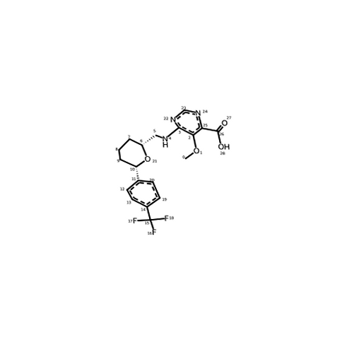 COc1c(NC[C@H]2CCC[C@@H](c3ccc(C(F)(F)F)cc3)O2)ncnc1C(=O)O